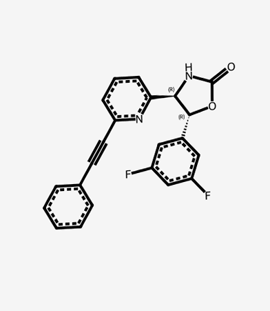 O=C1N[C@H](c2cccc(C#Cc3ccccc3)n2)[C@@H](c2cc(F)cc(F)c2)O1